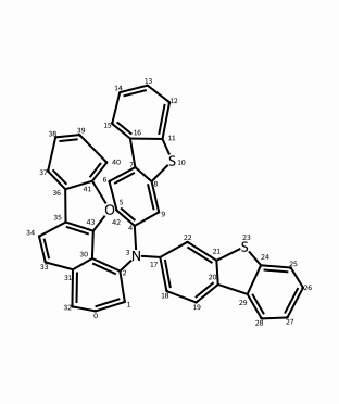 c1cc(N(c2ccc3c(c2)sc2ccccc23)c2ccc3c(c2)sc2ccccc23)c2c(c1)ccc1c3ccccc3oc12